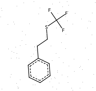 FC(F)(F)SCCc1ccccc1